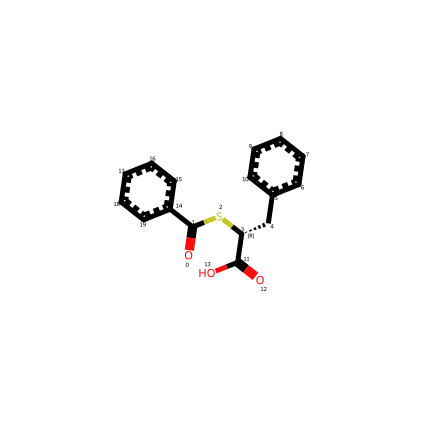 O=C(S[C@H](Cc1ccccc1)C(=O)O)c1ccccc1